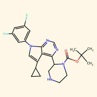 CC(C)(C)OC(=O)N1CCNCC1c1ncnc2c1c(C1CC1)cn2-c1cc(F)cc(F)c1